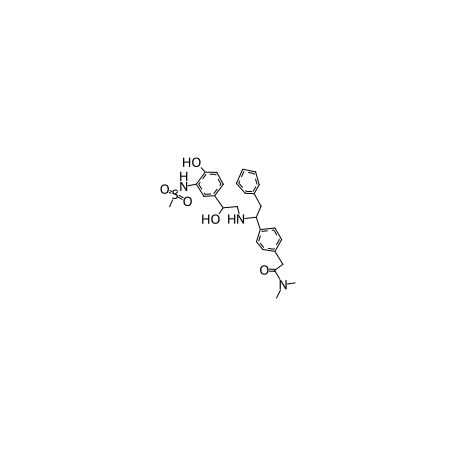 CN(C)C(=O)Cc1ccc(C(Cc2ccccc2)NCC(O)c2ccc(O)c(NS(C)(=O)=O)c2)cc1